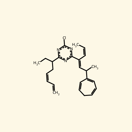 C=C/C=C\CC(CC)c1nc(Cl)nc(C(/C=C\C)=C/C(C)C2=CC=CCC=C2)n1